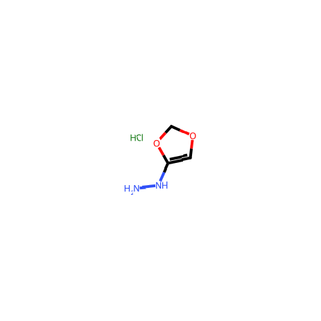 Cl.NNC1=COCO1